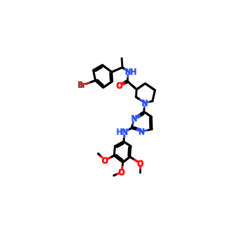 COc1cc(Nc2nccc(N3CCCC(C(=O)NC(C)c4ccc(Br)cc4)C3)n2)cc(OC)c1OC